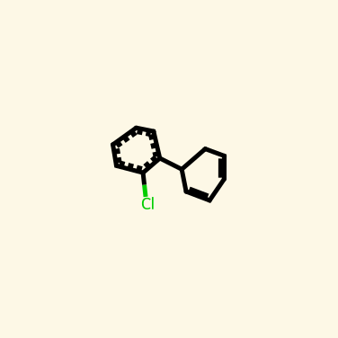 Clc1ccccc1C1C=CC=CC1